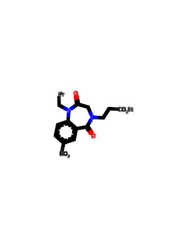 CCOC(=O)CCN1CC(=O)N(CC(C)C)c2ccc([N+](=O)[O-])cc2C1=O